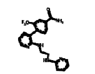 NC(=O)c1ccc(-c2cccnc2NCCNc2ccccn2)c(C(F)(F)F)c1